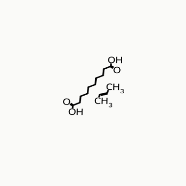 CC=CC.O=C(O)CCCCCCCCC(=O)O